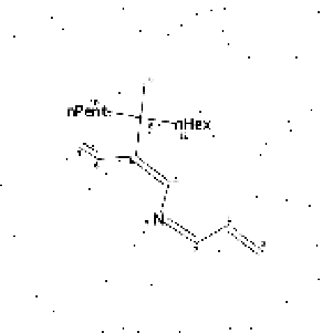 C=C/C=N\C=C(/C=C)C(C)(CCCCC)CCCCCC